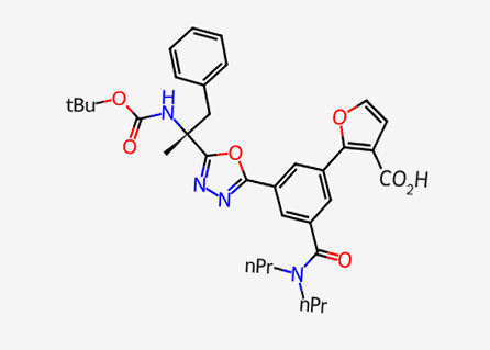 CCCN(CCC)C(=O)c1cc(-c2nnc([C@@](C)(Cc3ccccc3)NC(=O)OC(C)(C)C)o2)cc(-c2occc2C(=O)O)c1